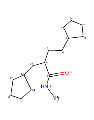 CC(C)NC(=O)C(CCC1CCCC1)CC1CCCC1